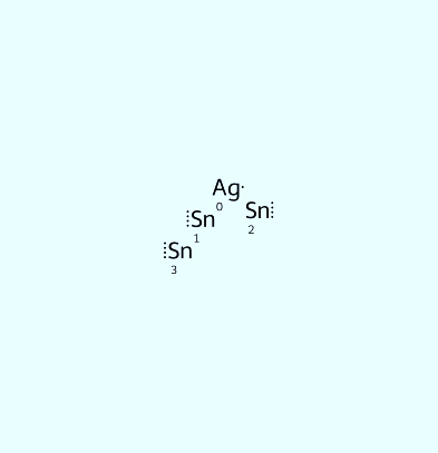 [Ag].[Sn].[Sn].[Sn]